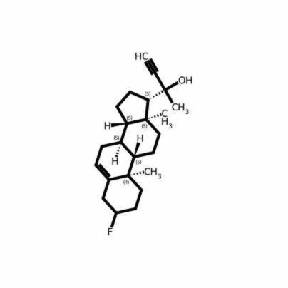 C#CC(C)(O)[C@H]1CC[C@H]2[C@@H]3CC=C4CC(F)CC[C@]4(C)[C@H]3CC[C@]12C